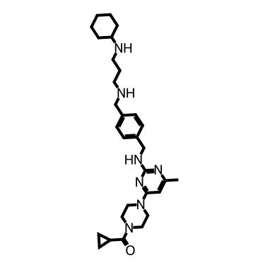 Cc1cc(N2CCN(C(=O)C3CC3)CC2)nc(NCc2ccc(CNCCCNC3CCCCC3)cc2)n1